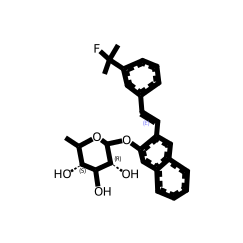 CC1OC(Oc2cc3ccccc3cc2/C=C/c2cccc(C(C)(C)F)c2)[C@H](O)C(O)[C@@H]1O